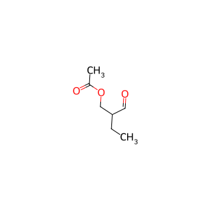 CCC(C=O)COC(C)=O